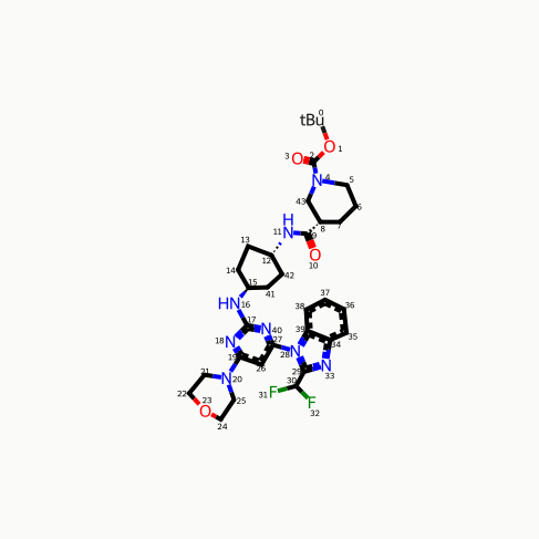 CC(C)(C)OC(=O)N1CCC[C@H](C(=O)N[C@H]2CC[C@H](Nc3nc(N4CCOCC4)cc(-n4c(C(F)F)nc5ccccc54)n3)CC2)C1